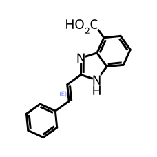 O=C(O)c1cccc2[nH]c(/C=C/c3ccccc3)nc12